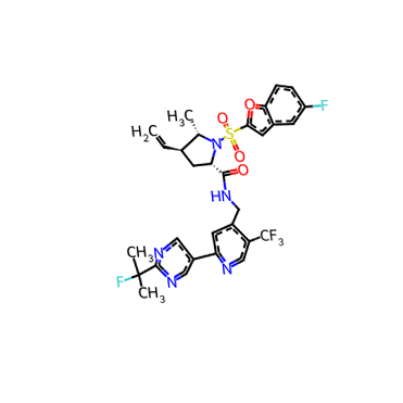 C=C[C@@H]1C[C@@H](C(=O)NCc2cc(-c3cnc(C(C)(C)F)nc3)ncc2C(F)(F)F)N(S(=O)(=O)c2cc3cc(F)ccc3o2)[C@H]1C